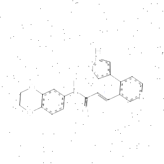 O=C(/C=C/c1cnccc1-c1cn[nH]c1)Nc1ccc2c(c1)OCCO2